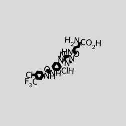 Cl.N[C@@H](CCC(=O)Nc1ncnc2c1ncn2-c1ccc(NC(=O)Nc2ccc(Cl)c(C(F)(F)F)c2)cc1)C(=O)O